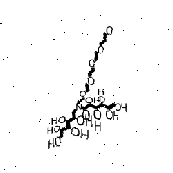 O=CCCOCCOCCOCCOCCN(C[C@H](O)[C@@H](O)[C@H](O)[C@H](O)CO)C(=O)[C@H](O)[C@@H](O)[C@H](O)[C@H](O)CO